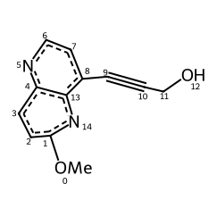 COc1ccc2nccc(C#CCO)c2n1